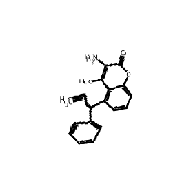 C=CC(c1ccccc1)c1cccc2oc(=O)c(N)c(C)c12